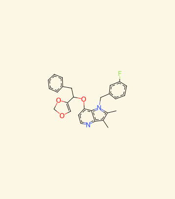 Cc1c(C)n(Cc2cccc(F)c2)c2c(OC(Cc3ccccc3)C3=COCO3)ccnc12